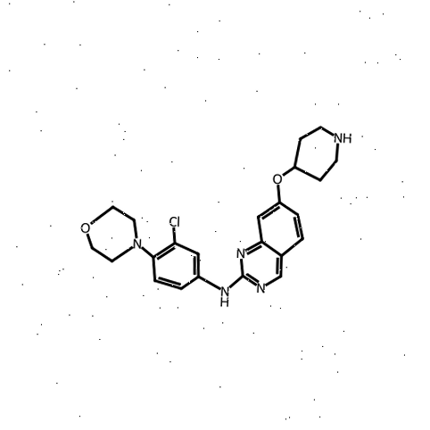 Clc1cc(Nc2ncc3ccc(OC4CCNCC4)cc3n2)ccc1N1CCOCC1